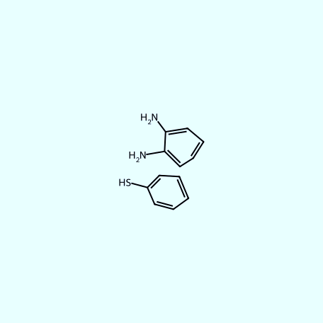 Nc1ccccc1N.Sc1ccccc1